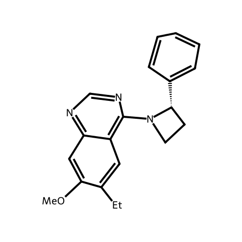 CCc1cc2c(N3CC[C@H]3c3ccccc3)ncnc2cc1OC